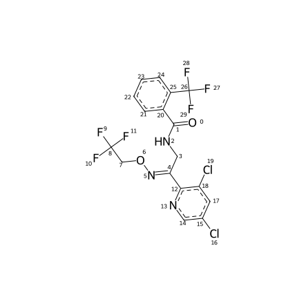 O=C(NCC(=NOCC(F)(F)F)c1ncc(Cl)cc1Cl)c1ccccc1C(F)(F)F